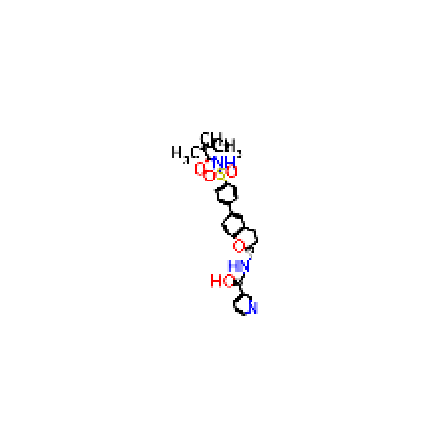 CC(C)(C)C(=O)NS(=O)(=O)c1ccc(-c2ccc3c(c2)CC[C@H](CNC[C@H](O)c2cccnc2)O3)cc1